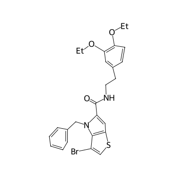 CCOc1ccc(CCNC(=O)c2cc3scc(Br)c3n2Cc2ccccc2)cc1OCC